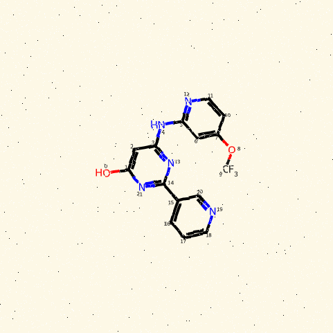 Oc1cc(Nc2cc(OC(F)(F)F)ccn2)nc(-c2cccnc2)n1